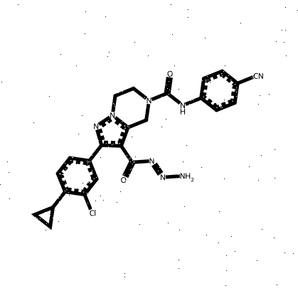 N#Cc1ccc(NC(=O)N2CCn3nc(-c4ccc(C5CC5)c(Cl)c4)c(C(=O)N=NN)c3C2)cc1